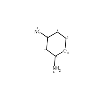 N#CC1CCOC(N)C1